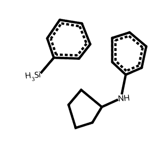 [SiH3]c1ccccc1.c1ccc(NC2CCCC2)cc1